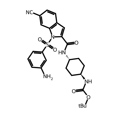 CC(C)(C)OC(=O)N[C@H]1CC[C@H](NC(=O)c2cc3ccc(C#N)cc3n2S(=O)(=O)c2cccc(N)c2)CC1